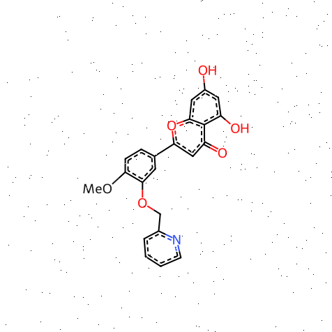 COc1ccc(-c2cc(=O)c3c(O)cc(O)cc3o2)cc1OCc1ccccn1